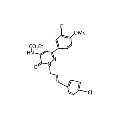 CCOC(=O)Nc1cc(-c2ccc(OC)c(F)c2)nn(CC=Cc2ccc(Cl)cc2)c1=O